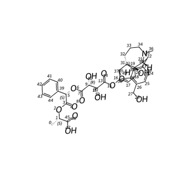 C[C@H](OC(=O)[C@@H](OC(=O)[C@H](O)[C@@H](O)C(=O)OC1=CC[C@@]2(O)[C@H]3Cc4ccc(CO)c5c4[C@@]2(CCCN3C)[C@H]1O5)c1ccccc1)C(=O)O